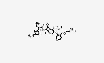 NCCSCc1ccncc1SC1=C(C(=O)O)N2C(=O)[C@@H](NC(=O)/C(=N\O)c3nsc(N)n3)[C@@H]2SC1